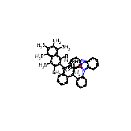 Bc1c(B)c(B)c2c(B)c(-c3c4ccccc4c(-c4ccccc4-n4c(C(B)(B)B)nc5ccccc54)c4ccccc34)c(B)c(B)c2c1B